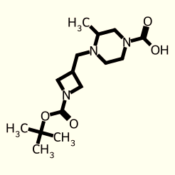 CC1CN(C(=O)O)CCN1CC1CN(C(=O)OC(C)(C)C)C1